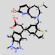 CC[C@H]1Cc2ccc(O)nc2CN(Cc2cc(C(CC(=O)O)c3cc(C)c4c(nnn4C)c3C)cc3ccsc23)C1